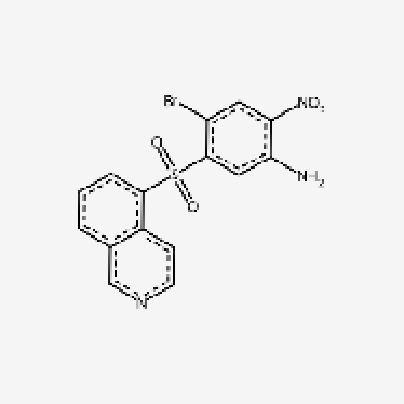 Nc1cc(S(=O)(=O)c2cccc3cnccc23)c(Br)cc1[N+](=O)[O-]